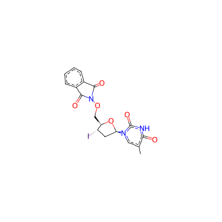 Cc1cn([C@H]2C[C@H](I)[C@@H](CON3C(=O)c4ccccc4C3=O)O2)c(=O)[nH]c1=O